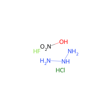 Cl.F.NNN.O=[N+]([O-])O